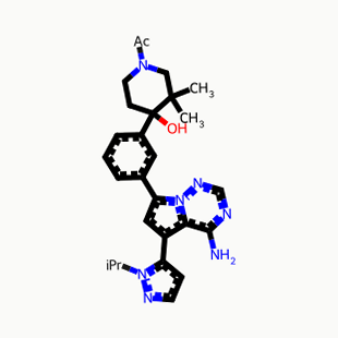 CC(=O)N1CCC(O)(c2cccc(-c3cc(-c4ccnn4C(C)C)c4c(N)ncnn34)c2)C(C)(C)C1